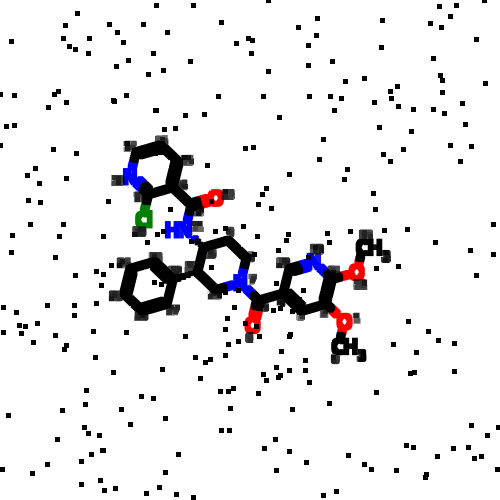 COc1cc(C(=O)N2CC[C@@H](NC(=O)c3cccnc3Cl)[C@@H](c3ccccc3)C2)cnc1OC